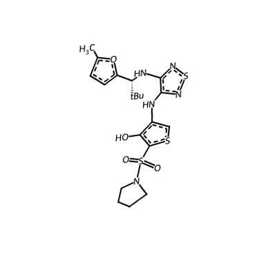 Cc1ccc([C@H](Nc2nsnc2Nc2csc(S(=O)(=O)N3CCCC3)c2O)C(C)(C)C)o1